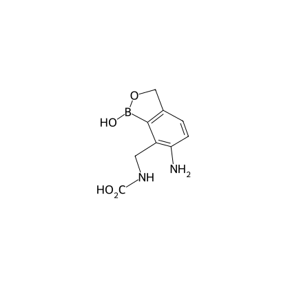 Nc1ccc2c(c1CNC(=O)O)B(O)OC2